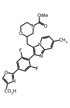 COC(=O)N1CCOC(Cc2c(-c3c(F)cc(-c4nc(C(=O)O)co4)cc3F)nc3cc(C)ccn23)C1